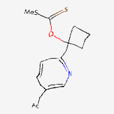 CSC(=S)OC1(c2ccc(C(C)=O)cn2)CCC1